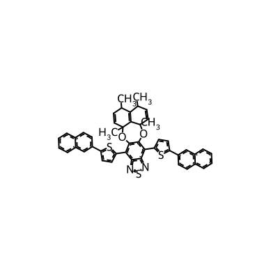 CC1C=CC2(C)Oc3c(c(-c4ccc(-c5ccc6ccccc6c5)s4)c4nsnc4c3-c3ccc(-c4ccc5ccccc5c4)s3)OC3(C)C=CC(C)C1=C23